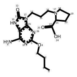 CCCCOc1nc(N)c2[nH]c(=O)n(CCCN3CCCC3C(=O)O)c2n1